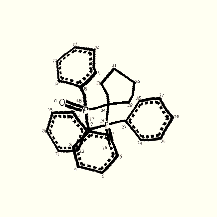 O=P(c1ccccc1)(c1ccccc1)C1(P(=O)(c2ccccc2)c2ccccc2)CCCC1